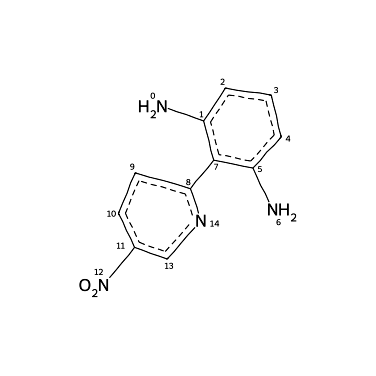 Nc1cccc(N)c1-c1ccc([N+](=O)[O-])cn1